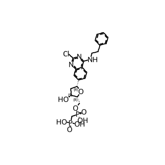 O=P(O)(O)CP(=O)(O)OC[C@H]1O[C@@H](c2ccc3c(NCCc4ccccc4)nc(Cl)nc3c2)C[C@@H]1O